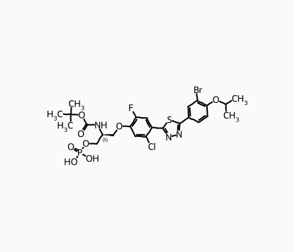 CC(C)Oc1ccc(-c2nnc(-c3cc(F)c(OC[C@@H](COP(=O)(O)O)NC(=O)OC(C)(C)C)cc3Cl)s2)cc1Br